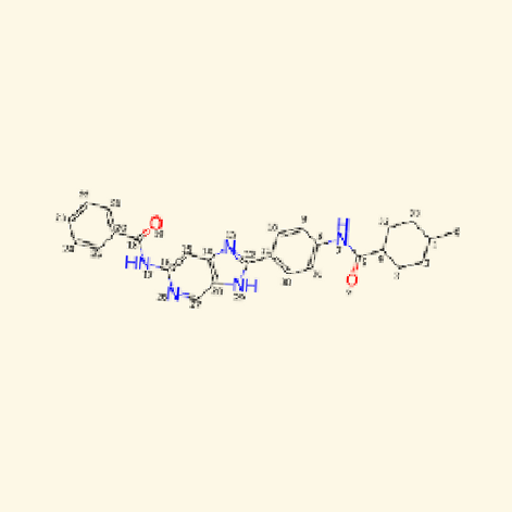 CC1CCC(C(=O)Nc2ccc(-c3nc4cc(NC(=O)c5ccccc5)ncc4[nH]3)cc2)CC1